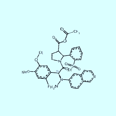 CCOc1cc([C@@H](C(=O)N2CCC(C(=O)OC(=O)C(F)(F)F)C2c2ccccc2S(=O)(=O)CC)N(N)c2ccc3cnccc3c2)c(F)cc1OC